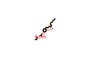 C=CC(=O)OCC(O)COc1ccc2cc(-c3sc(CCCCC)cc3OC)oc2c1